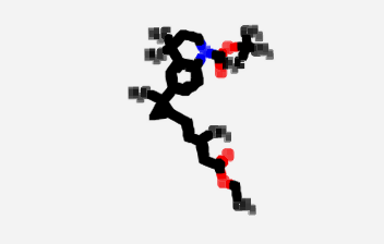 CCOC(=O)/C=C(C)/C=C/C1CC1(C)c1ccc2c(c1)C(C)(C)CCN2C(=O)OC(C)(C)C